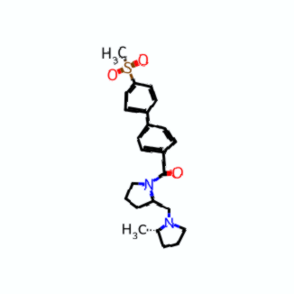 C[C@H]1CCCN1CC1CCCN1C(=O)c1ccc(-c2ccc(S(C)(=O)=O)cc2)cc1